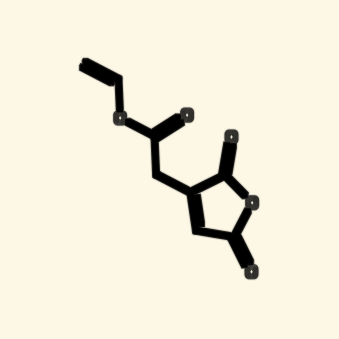 C=COC(=O)CC1=CC(=O)OC1=O